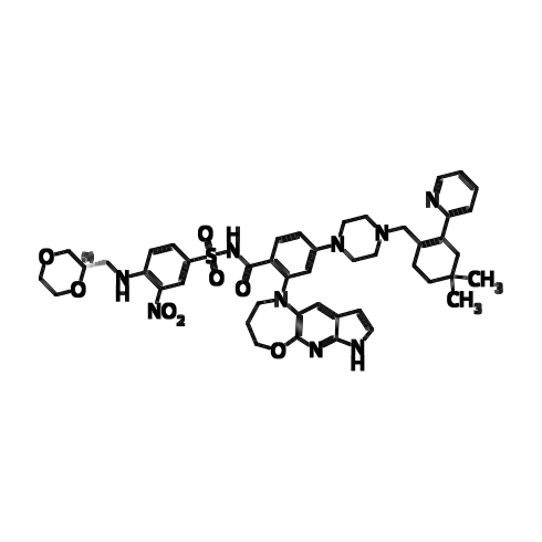 CC1(C)CCC(CN2CCN(c3ccc(C(=O)NS(=O)(=O)c4ccc(NC[C@H]5COCCO5)c([N+](=O)[O-])c4)c(N4CCCOc5nc6[nH]ccc6cc54)c3)CC2)=C(c2ccccn2)C1